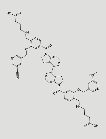 CNc1cncc(COc2cc(C(=O)N3CCc4c(-c5cccc6c5CCN6C(=O)c5ccc(CNCCCC(=O)O)c(OCc6cncc(C#N)c6)c5)cccc43)ccc2CNCCCC(=O)O)c1